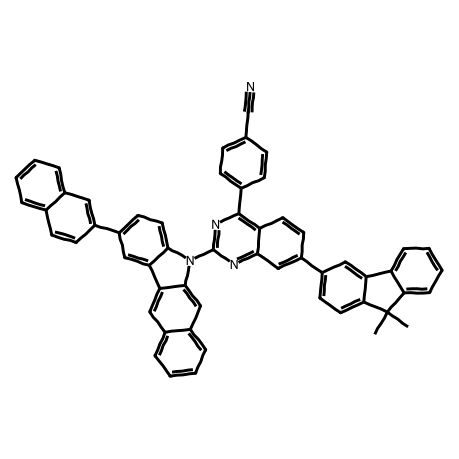 CC1(C)c2ccccc2-c2cc(-c3ccc4c(-c5ccc(C#N)cc5)nc(-n5c6ccc(-c7ccc8ccccc8c7)cc6c6cc7ccccc7cc65)nc4c3)ccc21